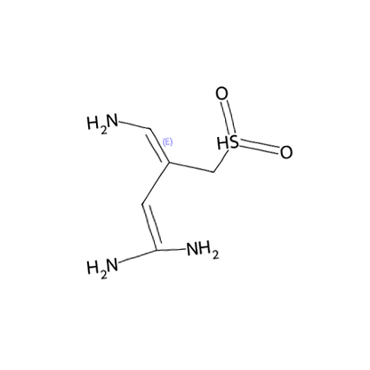 N/C=C(\C=C(N)N)C[SH](=O)=O